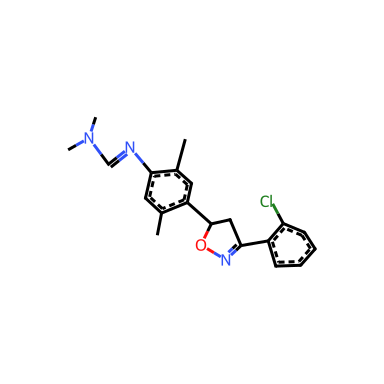 Cc1cc(C2CC(c3ccccc3Cl)=NO2)c(C)cc1N=CN(C)C